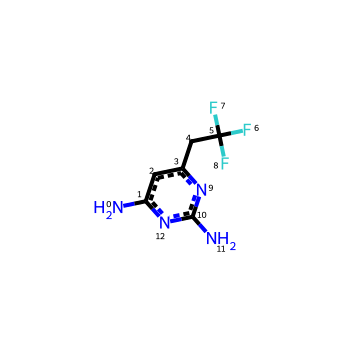 Nc1cc(CC(F)(F)F)nc(N)n1